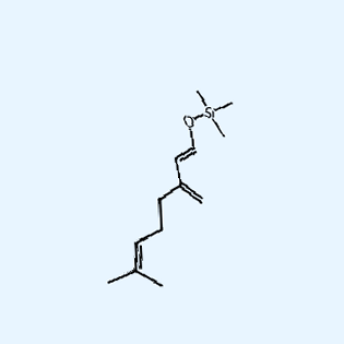 C=C(/C=C/O[Si](C)(C)C)CCC=C(C)C